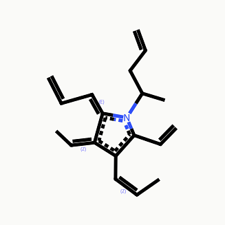 C=C/C=c1\c(=C/C)c(/C=C\C)c(C=C)n1C(C)CC=C